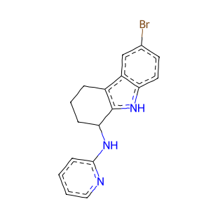 Brc1ccc2[nH]c3c(c2c1)CCCC3Nc1ccccn1